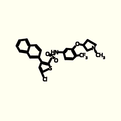 CN1CCC(Oc2cc(NS(=O)(=O)c3sc(Cl)cc3-c3ccc4ccccc4c3)ccc2C(F)(F)F)C1